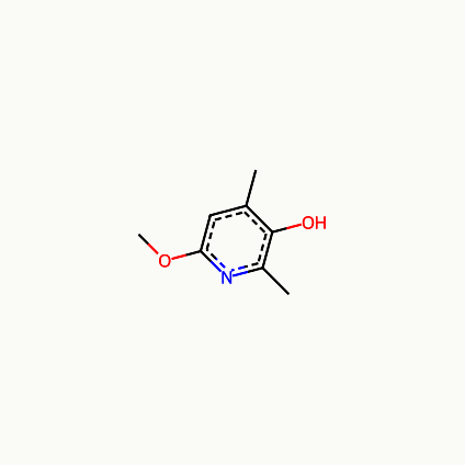 COc1cc(C)c(O)c(C)n1